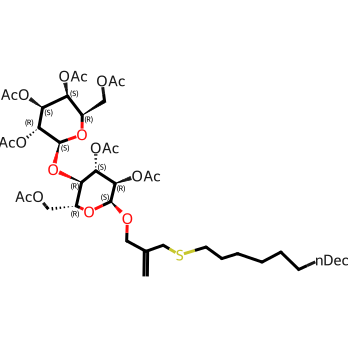 C=C(CO[C@H]1O[C@H](COC(C)=O)[C@@H](O[C@@H]2O[C@H](COC(C)=O)[C@H](OC(C)=O)[C@H](OC(C)=O)[C@H]2OC(C)=O)[C@H](OC(C)=O)[C@H]1OC(C)=O)CSCCCCCCCCCCCCCCCC